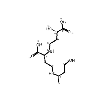 C[C@H](CCO)NCC[C@H](NCC[C@H](O)C(=O)O)C(=O)O